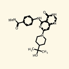 CNC(=O)c1ccc(Nc2nc(N3CCC(C(C)(C)O)CC3)cc3nc[nH]c(=O)c23)cc1